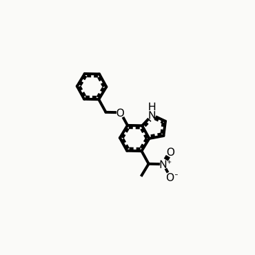 CC(c1ccc(OCc2ccccc2)c2[nH]ccc12)[N+](=O)[O-]